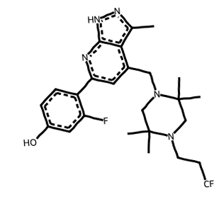 Cc1n[nH]c2nc(-c3ccc(O)cc3F)cc(CN3CC(C)(C)N(CCC(F)(F)F)CC3(C)C)c12